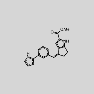 COC(=O)c1cc2c([nH]1)CCC2=Cc1cccc(-c2ccc[nH]2)c1